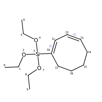 CCO[Si](OCC)(OCC)/C1=C/C=C\CCCC1